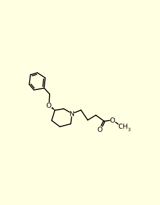 COC(=O)CCCN1CCC[C@@H](OCc2ccccc2)C1